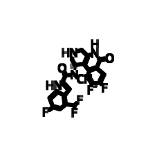 CN(C(=O)c1cc2c(C(F)F)cc(F)cc2[nH]1)[C@@H]1CNCc2[nH]c(=O)c3cc(F)c(F)cc3c21